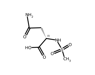 CS(=O)(=O)N[C@@H](CC(N)=O)C(=O)O